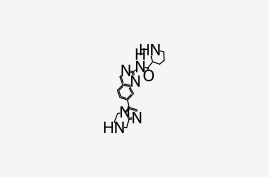 O=C(Nc1ncc2ccc(-c3cnc4n3CCNC4)cc2n1)C1CCCNC1